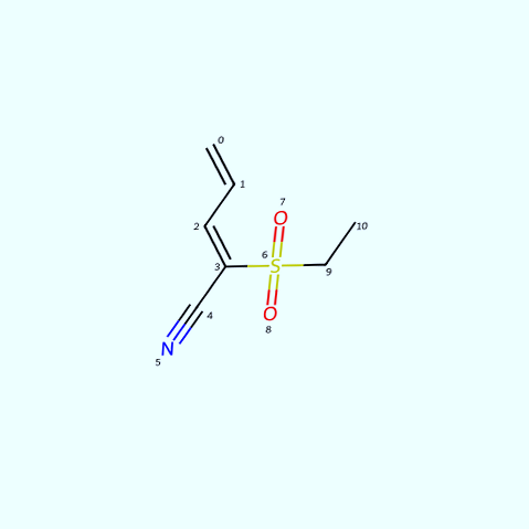 C=CC=C(C#N)S(=O)(=O)CC